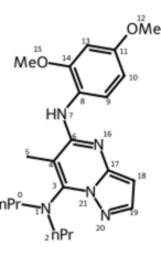 CCCN(CCC)c1c(C)c(Nc2ccc(OC)cc2OC)nc2ccnn12